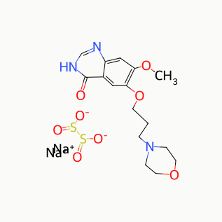 COc1cc2nc[nH]c(=O)c2cc1OCCCN1CCOCC1.O=S([O-])S(=O)[O-].[Na+].[Na+]